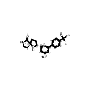 Cl.O=C1NCC[C@]12CC[C@H](c1cccc(-c3ccc(C(F)(F)F)cc3)n1)N2